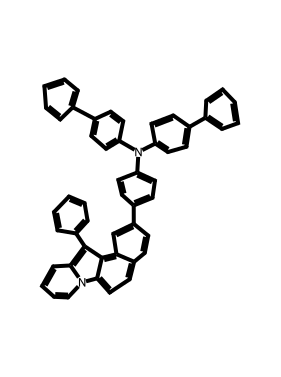 c1ccc(-c2ccc(N(c3ccc(-c4ccccc4)cc3)c3ccc(-c4ccc5ccc6c(c(-c7ccccc7)c7ccccn76)c5c4)cc3)cc2)cc1